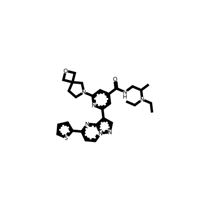 CCN(CC)C(C)CNC(=O)c1cc(-c2cnn3ccc(-c4cccs4)nc23)nc(N2CCC3(COC3)C2)c1